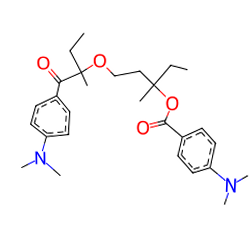 CCC(C)(CCOC(C)(CC)C(=O)c1ccc(N(C)C)cc1)OC(=O)c1ccc(N(C)C)cc1